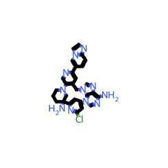 Nc1ncnc2c1ncn2Cc1cc(-c2ccc3nccn3c2)ncc1N1CCCC(N)(c2cccc(Cl)n2)C1